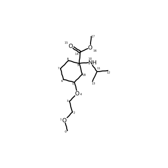 COCCOC1CCCC(NC(C)C)(C(=O)OC)C1